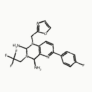 NC1c2nc(-c3ccc(F)cc3)ccc2N(Cc2ncco2)C(N)N1CC(F)(F)F